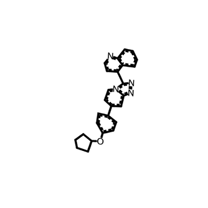 c1ccc2c(-c3nnc4cc(-c5ccc(OC6CCCC6)cc5)ccn34)ccnc2c1